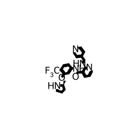 O=C(Nc1ccc(C(F)(F)F)c(OC[C@H]2CCCN2)c1)c1cccnc1NCc1ccncc1